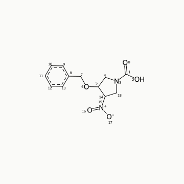 O=C(O)N1CC(OCc2ccccc2)C([N+](=O)[O-])C1